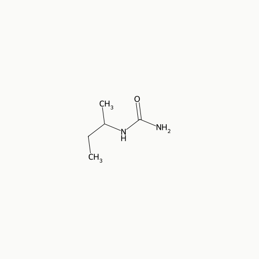 CCC(C)NC(N)=O